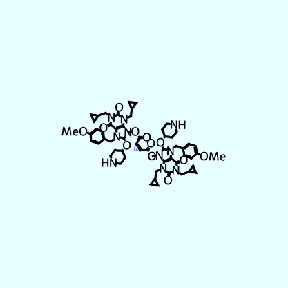 COc1ccc(CN2c3c(n(CC4CC4)c(=O)n(CC4CC4)c3=O)N(OC(=O)/C=C\C(=O)ON3c4c(c(=O)n(CC5CC5)c(=O)n4CC4CC4)N(Cc4ccc(OC)cc4)C3OC3CCNCC3)C2OC2CCNCC2)cc1